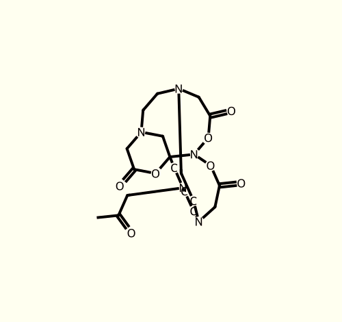 CC(=O)CN1CCN2CCN3CCN4CC(=O)OC(C1)(C4)N(OC(=O)C2)OC(=O)C3